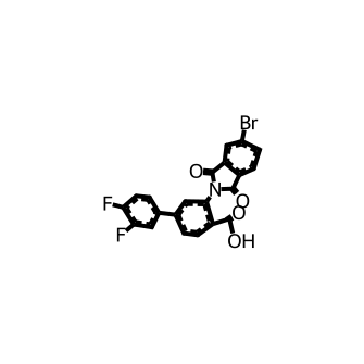 O=C(O)c1ccc(-c2ccc(F)c(F)c2)cc1N1C(=O)c2ccc(Br)cc2C1=O